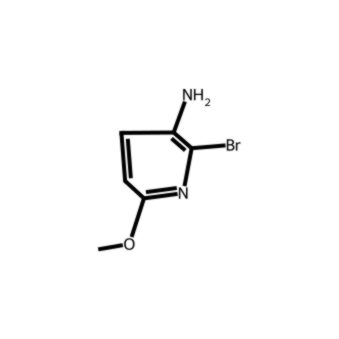 COc1ccc(N)c(Br)n1